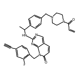 C#Cc1ccc(Cn2c(=O)ccc3cnc(NC(C)c4ccc(CN5CCN(C(=O)C=C)CC5)cc4)nc32)c(F)c1